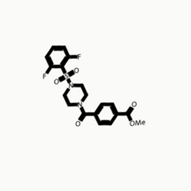 COC(=O)c1ccc(C(=O)N2CCN(S(=O)(=O)c3c(F)cccc3F)CC2)cc1